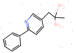 BC(B)(C)Cc1ccc(-c2ccccc2)nc1